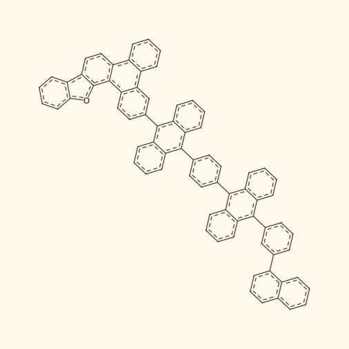 c1cc(-c2cccc3ccccc23)cc(-c2c3ccccc3c(-c3ccc(-c4c5ccccc5c(-c5ccc6c(c5)c5ccccc5c5ccc7c8ccccc8oc7c56)c5ccccc45)cc3)c3ccccc23)c1